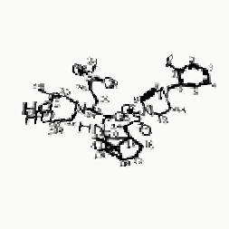 Cc1ccccc1N1C#CN(S(=O)(=O)CC23CCC(CC2NC(=O)[C@H](CCS(C)(=O)=O)N(C[C@H](C)O)C[C@H](C)O)C3(C)C)CC1